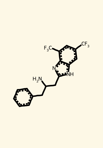 NC(Cc1ccccc1)Cc1nc2c(C(F)(F)F)cc(C(F)(F)F)cc2[nH]1